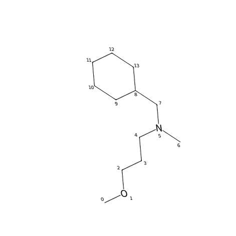 COCCCN(C)CC1CCCCC1